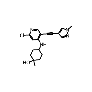 Cn1cc(C#Cc2cnc(Cl)cc2NC2CCC(C)(O)CC2)cn1